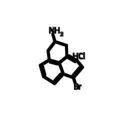 Cl.NC1Cc2cccc3c(Br)ccc(c23)C1